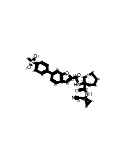 CS(=O)(=O)c1ccc(-c2ccc3cc(C(=O)NC4(C(=O)NC5(C#N)CC5)CCCCCC4)oc3c2)cc1